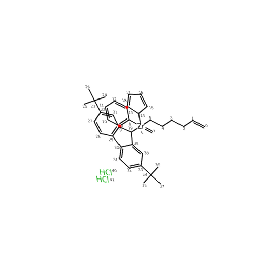 C=CCCC[CH2][Zr](=[CH2])([c]1ccccc1)([CH]1C=CC=C1)[CH]1c2cc(C(C)(C)C)ccc2-c2ccc(C(C)(C)C)cc21.Cl.Cl